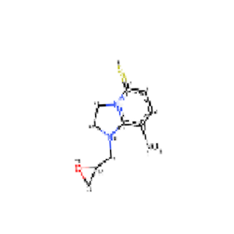 O=[N+]([O-])c1ccc(=S)n2c1N(CC1CO1)CC2